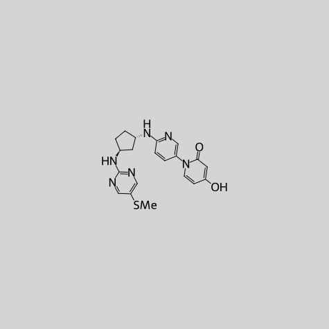 CSc1cnc(N[C@H]2CC[C@H](Nc3ccc(-n4ccc(O)cc4=O)cn3)C2)nc1